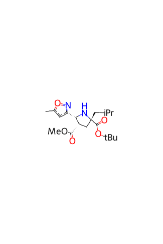 COC(=O)[C@H]1C[C@@](CC(C)C)(C(=O)OC(C)(C)C)N[C@H]1c1cc(C)on1